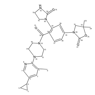 Cc1cc(C2CC2)cnc1N1CCN(C(=O)c2ccc(N3CC(C)(C)OC3=O)cc2N2CCNC2=O)CC1